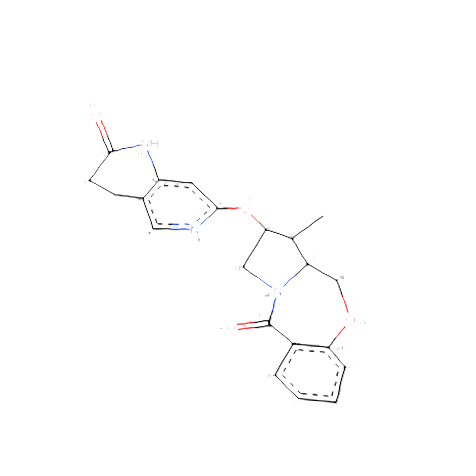 CC1C(Oc2cc3c(cn2)CCC(=O)N3)CN2C(=O)c3ccccc3OCC12